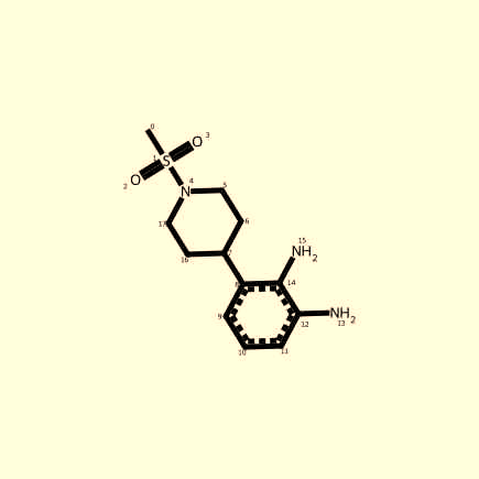 CS(=O)(=O)N1CCC(c2cccc(N)c2N)CC1